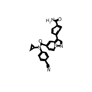 N#Cc1ccc(N(C(=O)c2ccn3ncc(-c4ccc(C(N)=O)cc4)c3c2)C2CC2)cc1